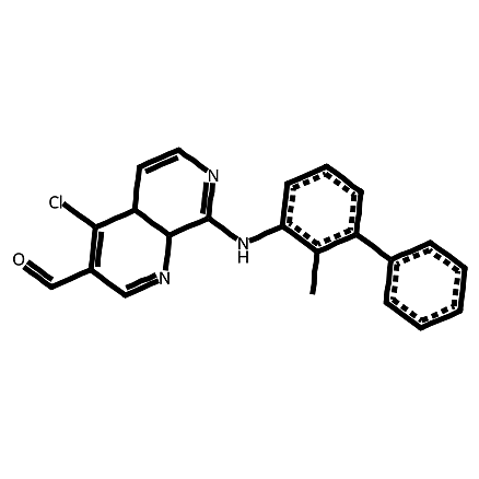 Cc1c(NC2=NC=CC3C(Cl)=C(C=O)C=NC23)cccc1-c1ccccc1